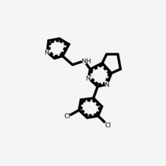 Clc1cc(Cl)cc(-c2nc3c(c(NCc4cccnc4)n2)CCC3)c1